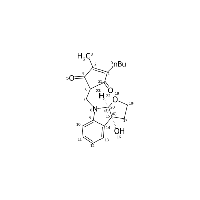 CCCCC1=C(C)C(=O)C(CN2c3ccccc3[C@]3(O)CCO[C@H]23)C1=O